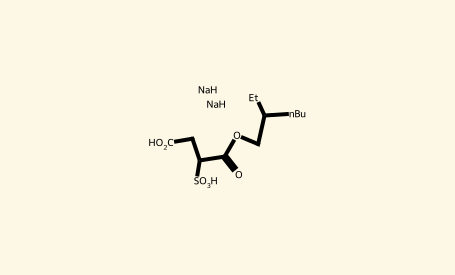 CCCCC(CC)COC(=O)C(CC(=O)O)S(=O)(=O)O.[NaH].[NaH]